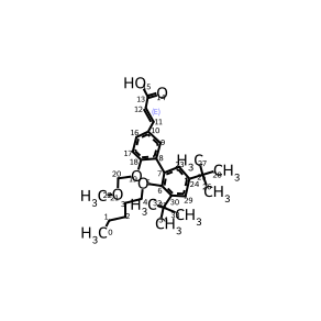 CCCCCOc1c(-c2cc(/C=C/C(=O)O)ccc2OCOC)cc(C(C)(C)C)cc1C(C)(C)C